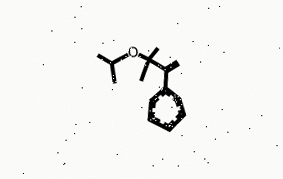 C=C(c1ccccc1)C(C)(C)OC(C)C